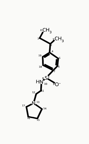 CCC(C)c1ccc([S+]([O-])NCCN2CCCC2)cc1